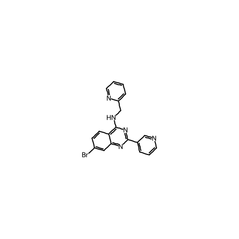 Brc1ccc2c(NCc3ccccn3)nc(-c3cccnc3)nc2c1